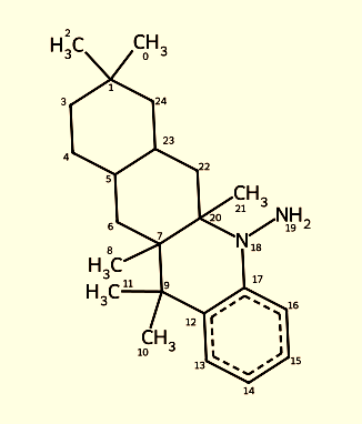 CC1(C)CCC2CC3(C)C(C)(C)c4ccccc4N(N)C3(C)CC2C1